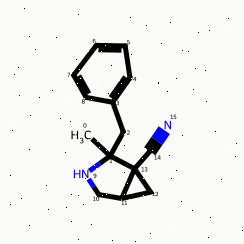 CC1(Cc2ccccc2)NCC2CC21C#N